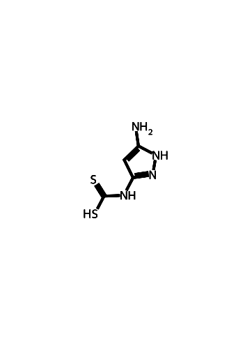 Nc1cc(NC(=S)S)n[nH]1